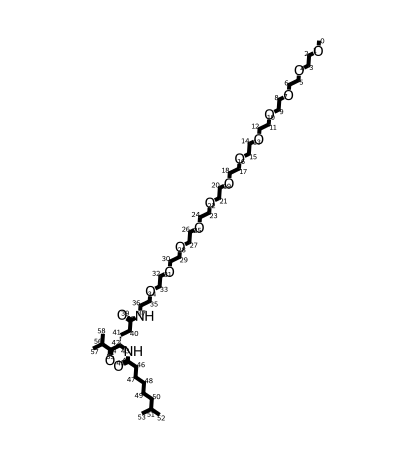 COCCOCCOCCOCCOCCOCCOCCOCCOCCOCCOCCOCCNC(=O)CC[C@H](NC(=O)CCCCCC(C)C)C(=O)C(C)C